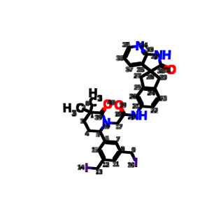 CC1(C)CCC(c2cc(CI)cc(CI)c2)N(CC(=O)Nc2ccc3c(c2)CC2(C3)C(=O)Nc3ncccc32)C1=O